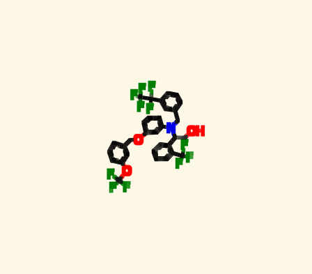 OCC(c1ccccc1C(F)(F)F)N(Cc1cccc(C(F)(F)C(F)(F)F)c1)c1cccc(OCc2cccc(OC(F)(F)F)c2)c1